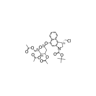 CC(=O)OC[C@H]1O[C@@H](Oc2cc3c(c4ccccc24)[C@H](CCl)CN3C(=O)OC(C)(C)C)CC(OC(C)=O)[C@H]1OC(C)=O